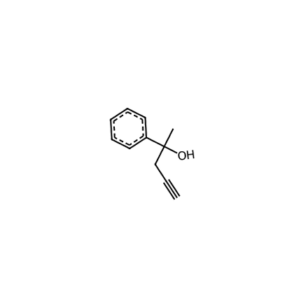 C#CCC(C)(O)c1ccccc1